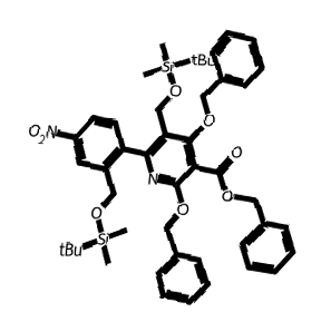 CC(C)(C)[Si](C)(C)OCc1cc([N+](=O)[O-])ccc1-c1nc(OCc2ccccc2)c(C(=O)OCc2ccccc2)c(OCc2ccccc2)c1CO[Si](C)(C)C(C)(C)C